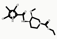 CCOC(=O)N1CC[C@@H](NC(=O)c2[nH]c(Cl)c(C)c2Cl)[C@@H](OC)C1